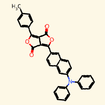 Cc1ccc(C2=C3C(=O)OC(c4ccc5cc(N(c6ccccc6)c6ccccc6)ccc5c4)=C3C(=O)O2)cc1